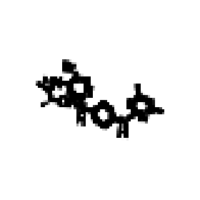 Cc1cc(C)nc(Nc2ccc(Nc3ncc(Br)c(N[C@H](C)[C@@H](C)O)n3)cc2)n1